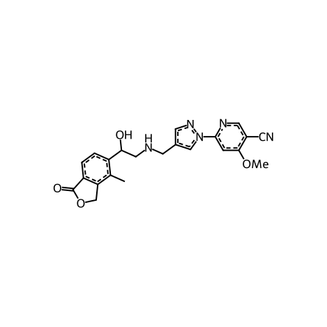 COc1cc(-n2cc(CNCC(O)c3ccc4c(c3C)COC4=O)cn2)ncc1C#N